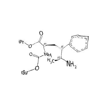 CC(C)OC(=O)[C@@H](C[C@H](c1ccccc1)[C@H](C)N)NC(=O)OC(C)(C)C